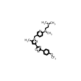 Cc1cc(-c2nc(-c3ccc(OC(F)(F)F)cc3)no2)nn1Cc1ccc(N(C)CCN(C)C)nc1